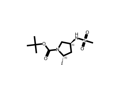 C[C@H]1C[C@H](NS(C)(=O)=O)CN1C(=O)OC(C)(C)C